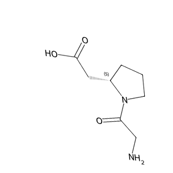 NCC(=O)N1CCC[C@H]1CC(=O)O